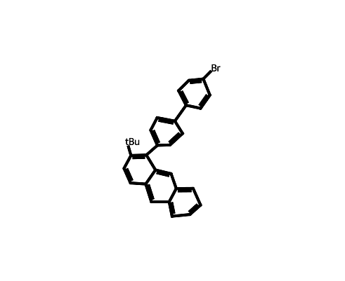 CC(C)(C)c1ccc2cc3ccccc3cc2c1-c1ccc(-c2ccc(Br)cc2)cc1